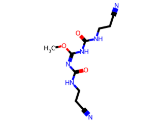 COC(=NC(=O)NCCC#N)NC(=O)NCCC#N